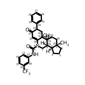 C[C@@]12CCC[C@H]1[C@@H]1CN(C(=O)Nc3cccc(C(F)(F)F)c3)C3=CC(=O)C(c4ccccc4)C[C@]3(C)[C@H]1CC2